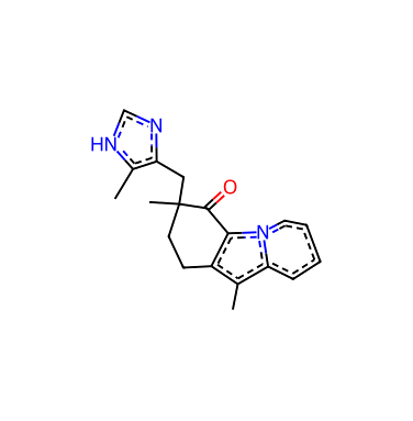 Cc1[nH]cnc1CC1(C)CCc2c(C)c3ccccn3c2C1=O